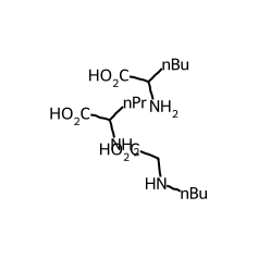 CCCC(N)C(=O)O.CCCCC(N)C(=O)O.CCCCNCC(=O)O